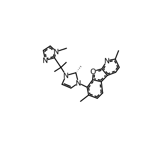 Cc1ccc2c(n1)oc1c(N3C=CN(C(C)(C)c4nccn4C)[C@@H]3C)c(C)ccc12